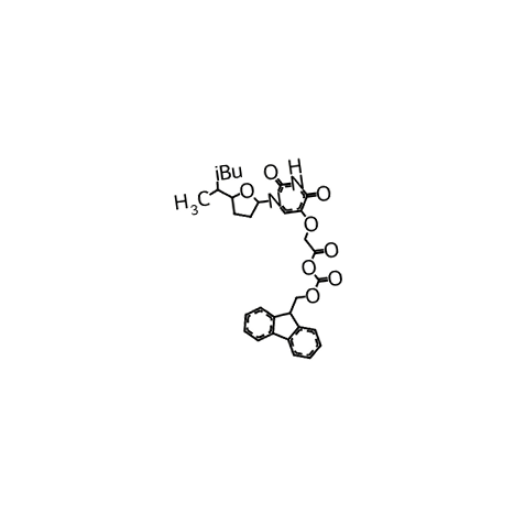 CCC(C)C(C)C1CCC(n2cc(OCC(=O)OC(=O)OCC3c4ccccc4-c4ccccc43)c(=O)[nH]c2=O)O1